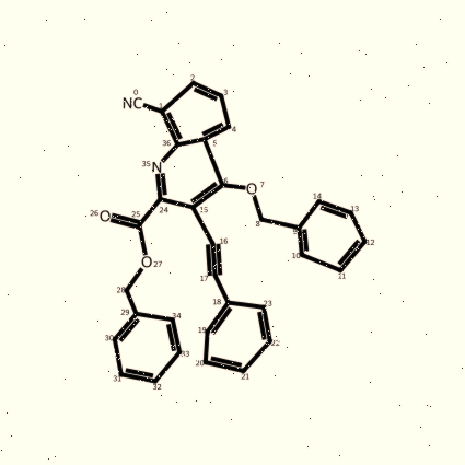 N#Cc1cccc2c(OCc3ccccc3)c(C#Cc3ccccc3)c(C(=O)OCc3ccccc3)nc12